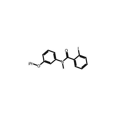 CC(C)Oc1cccc(N(C)C(=O)c2ccccc2I)c1